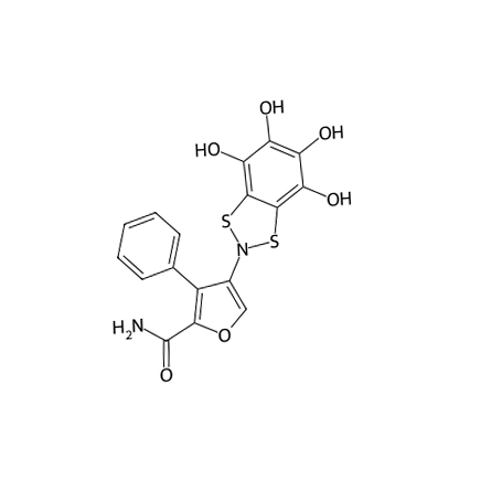 NC(=O)c1occ(N2Sc3c(O)c(O)c(O)c(O)c3S2)c1-c1ccccc1